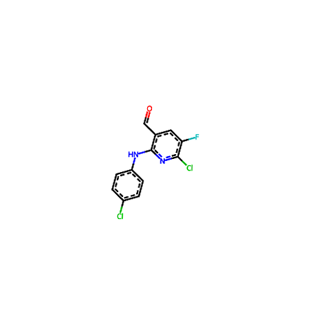 O=Cc1cc(F)c(Cl)nc1Nc1ccc(Cl)cc1